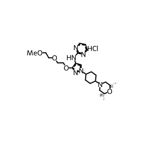 COCCOCCOc1nn(C2CCC(N3C[C@@H](C)O[C@@H](C)C3)CC2)cc1Nc1ncccn1.Cl